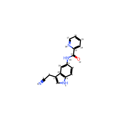 N#CCc1c[nH]c2ccc(NC(=O)c3ccccn3)cc12